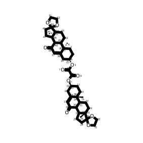 C[C@]12CC[C@H](OC(=O)C(=O)O[C@H]3CC[C@@]4(C)C(=CC(=O)C5C4CC[C@@]4(C)C5CCC45OCCO5)C3)CC1=CC(=O)C1C2CC[C@@]2(C)C1CCC21OCCO1